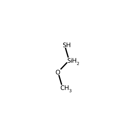 CO[SiH2]S